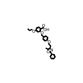 CCCOc1ccc(C(=O)O)c(OCc2ccc(OCCc3nc(-c4ccccc4)oc3C)cc2)c1